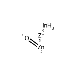 [InH3].[O]=[Zn].[Zr]